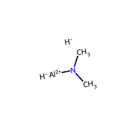 C[N](C)[Al+2].[H-].[H-]